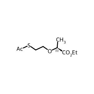 CCOC(=O)[C@H](C)OCCSC(C)=O